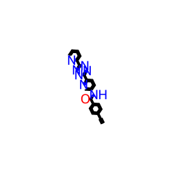 C#Cc1ccc(C(=O)Nc2ccc(-c3nnc(-c4ccccn4)nn3)nc2)cc1